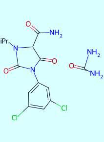 CC(C)N1C(=O)N(c2cc(Cl)cc(Cl)c2)C(=O)C1C(N)=O.NC(N)=O